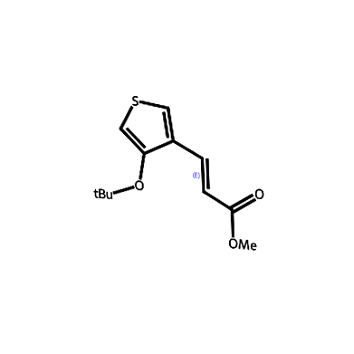 COC(=O)/C=C/c1cscc1OC(C)(C)C